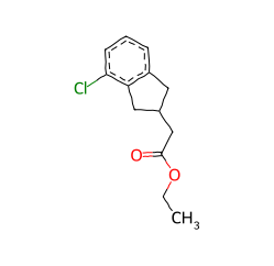 CCOC(=O)CC1Cc2cccc(Cl)c2C1